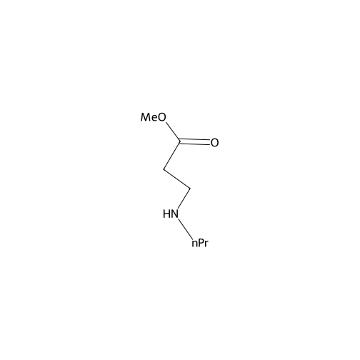 [CH2]CCNCCC(=O)OC